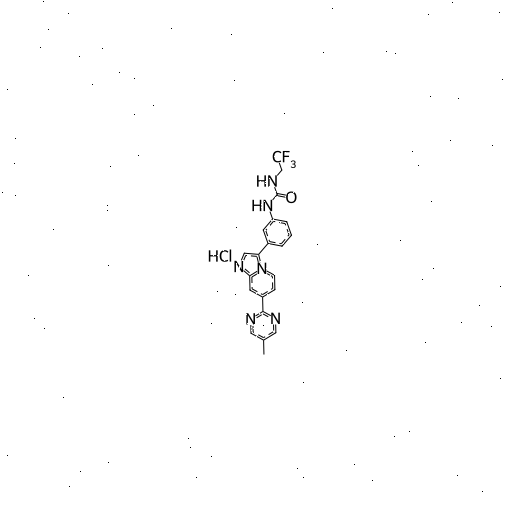 Cc1cnc(-c2ccn3c(-c4cccc(NC(=O)NCC(F)(F)F)c4)cnc3c2)nc1.Cl